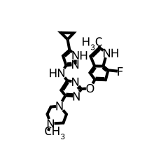 Cc1cc2cc(Oc3nc(Nc4cc(C5CC5)[nH]n4)cc(N4CCN(C)CC4)n3)cc(F)c2[nH]1